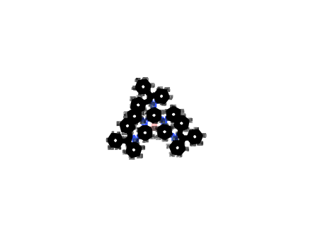 c1ccc(-c2c(-c3ccccc3)n(-c3ccc4c(c3)N(c3ccccc3)c3cc(-n5c(-c6ccccc6)c(-c6ccccc6)c6ccccc65)cc5c3B4c3ccc(-n4c(-c6ccccc6)c(-c6ccccc6)c6ccccc64)cc3N5c3ccccc3)c3ccccc23)cc1